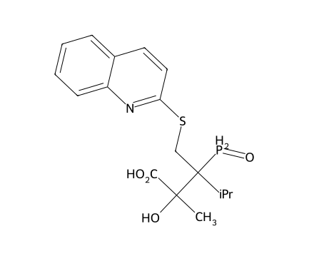 CC(C)C(CSc1ccc2ccccc2n1)([PH2]=O)C(C)(O)C(=O)O